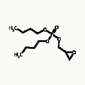 CCCCOP(=O)(OCCCC)OCC1CO1